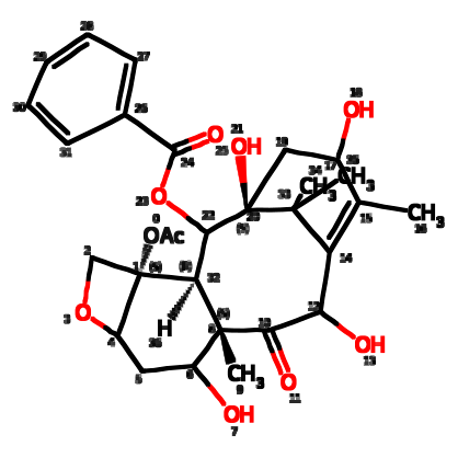 CC(=O)O[C@@]12COC1CC(O)[C@@]1(C)C(=O)C(O)C3=C(C)C(O)C[C@@](O)(C(OC(=O)c4ccccc4)[C@H]21)C3(C)C